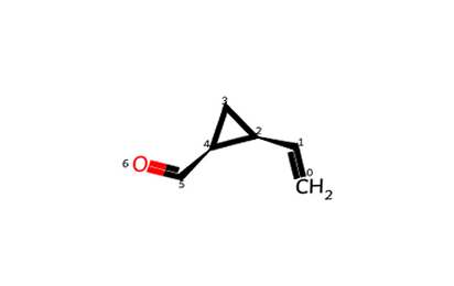 C=C[C@@H]1C[C@@H]1C=O